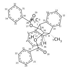 C[C@]12c3ccccc3[C@](C)(c3ccccc31)[C@@H](OC(=O)c1ccccc1)[C@H]2OC(=O)c1ccccc1